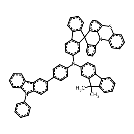 CC1(C)c2ccccc2-c2ccc(N(c3ccc(-c4ccc5c(c4)c4ccccc4n5-c4ccccc4)cc3)c3ccc4c(c3)C3(c5ccccc5-4)c4ccccc4N4c5ccccc5Sc5cccc3c54)cc21